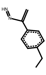 C=C(N=N)c1ccc(CC)cc1